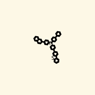 c1ccc(-c2ccc(N(c3ccc(-c4ccc5ccccc5c4)cc3)c3ccc(-c4ccc5c(c4)sc4ccccc45)cc3)cc2)cc1